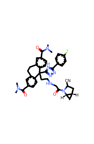 CN(C)C(=O)c1ccc2c(c1)CCc1cc(C(=O)N(C)C)ccc1C2(CCNCC(=O)N1C(C#N)C[C@@H]2C[C@@H]21)c1nnc(-c2ccc(F)cc2)[nH]1